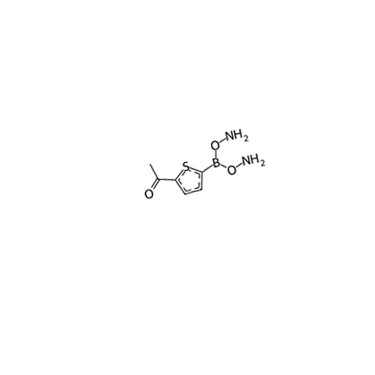 CC(=O)c1ccc(B(ON)ON)s1